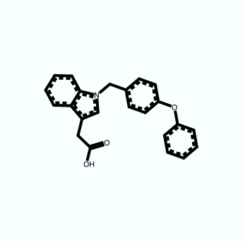 O=C(O)Cc1cn(Cc2ccc(Oc3ccccc3)cc2)c2ccccc12